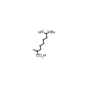 CCCCC(CCC)CCCCCC(C)C(=O)O